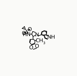 CC1C2=C(C=CC1C1C(NS(=O)(=O)C3CC3)CCN1Cc1cccc3[nH]ccc13)OCCO2